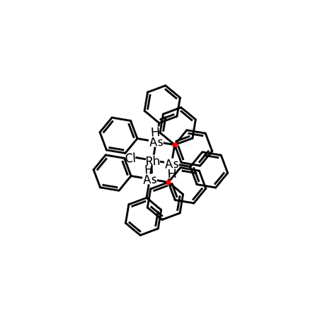 [Cl][Rh]([AsH](c1ccccc1)(c1ccccc1)c1ccccc1)([AsH](c1ccccc1)(c1ccccc1)c1ccccc1)[AsH](c1ccccc1)(c1ccccc1)c1ccccc1